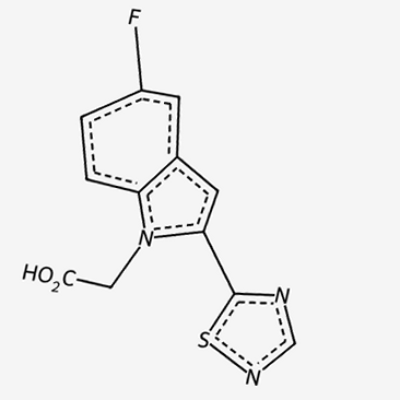 O=C(O)Cn1c(-c2ncns2)cc2cc(F)ccc21